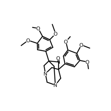 COc1cc(C23CN4CN(C2)CC(c2cc(OC)c(OC)c(OC)c2)(C4)C3=O)cc(OC)c1OC